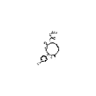 CC(C)(C)OC(=O)C[C@@H]1CC=CCCC(=O)N[C@H](c2ccc(Cl)cc2)COC1=O